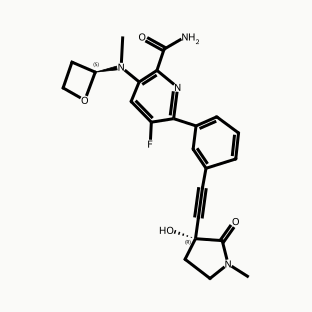 CN1CC[C@@](O)(C#Cc2cccc(-c3nc(C(N)=O)c(N(C)[C@@H]4CCO4)cc3F)c2)C1=O